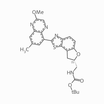 COc1cnc2c(-c3nc4ccc5c(c4s3)C[C@@H](CNC(=O)OC(C)(C)C)O5)cc(C)cc2n1